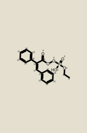 CCOP(=O)(O)OOC(=O)C(=Cc1ccccc1)c1ccccc1